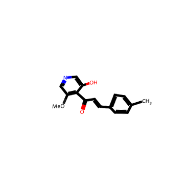 COc1cncc(O)c1C(=O)/C=C/c1ccc(C)cc1